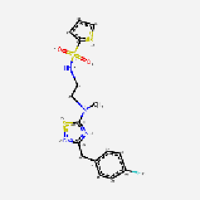 CN(CCNS(=O)(=O)c1cccs1)c1nc(Cc2ccc(F)cc2)ns1